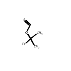 CC(C)C(C)(C)OC=S